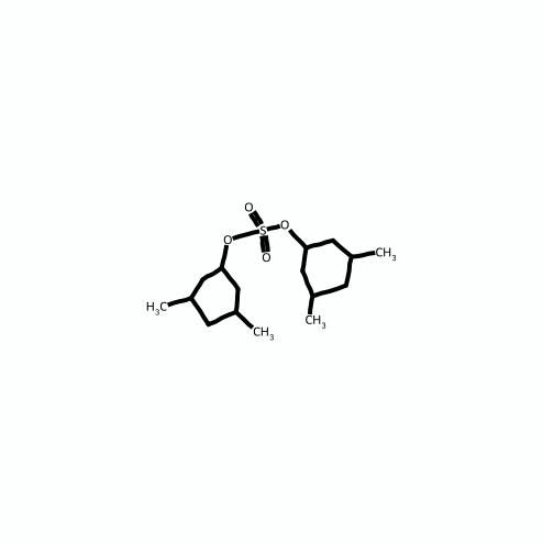 CC1CC(C)CC(OS(=O)(=O)OC2CC(C)CC(C)C2)C1